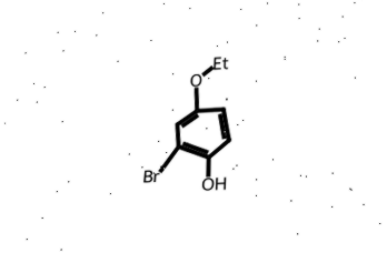 CCOc1ccc(O)c(Br)c1